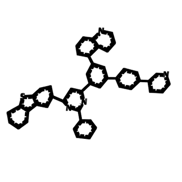 c1ccc(-c2nc(-c3cc(-c4ccc(-c5cccnc5)cc4)cc(-c4cccc5ncccc45)c3)cc(-c3ccc4sc5ccccc5c4c3)n2)cc1